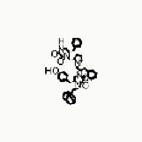 O=C1NC[C@H](Cc2ccccc2)N(C[C@@H]2CCCN2CC(Cc2ccccc2)N2C[C@H](Cc3ccc(O)cc3)N(CCC34CC5CC(CC(C5)C3)C4)C(=O)C2=O)C1=O